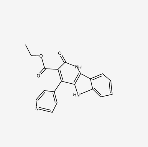 CCOC(=O)c1c(-c2ccncc2)c2[nH]c3ccccc3c2[nH]c1=O